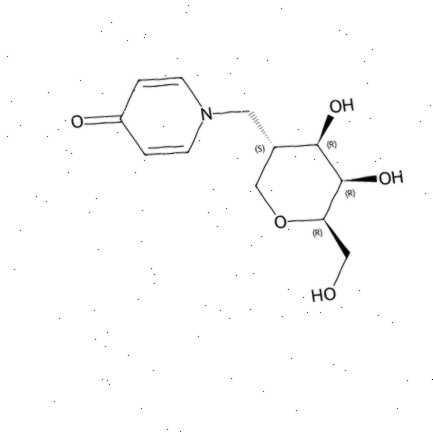 O=c1ccn(C[C@H]2CO[C@H](CO)[C@H](O)[C@@H]2O)cc1